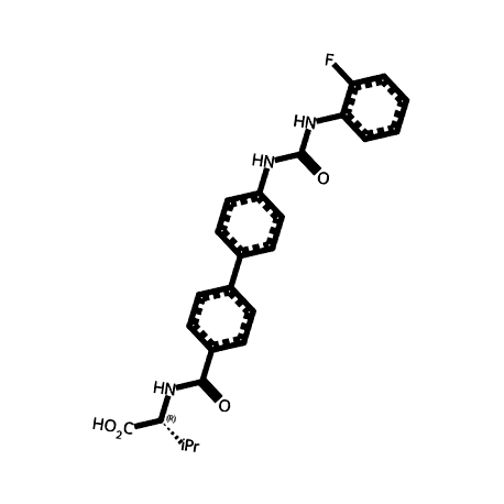 CC(C)[C@@H](NC(=O)c1ccc(-c2ccc(NC(=O)Nc3ccccc3F)cc2)cc1)C(=O)O